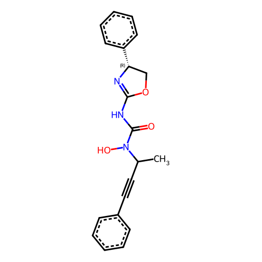 CC(C#Cc1ccccc1)N(O)C(=O)NC1=N[C@H](c2ccccc2)CO1